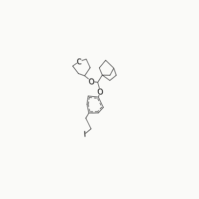 ICCc1ccc(OC(OC2CCCCC2)C23CCC(CC2)C3)cc1